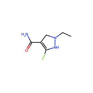 CCN1CC(C(N)=O)=C(F)N1